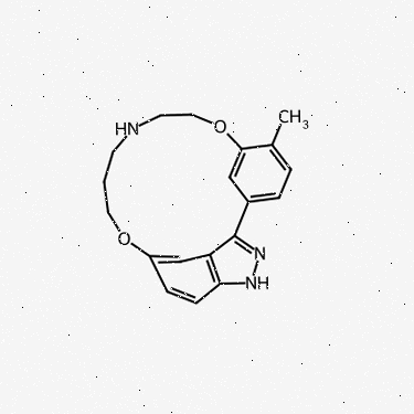 Cc1ccc2cc1OCCNCCCOc1ccc3[nH]nc-2c3c1